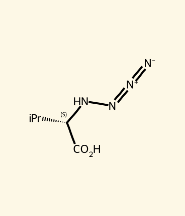 CC(C)[C@H](NN=[N+]=[N-])C(=O)O